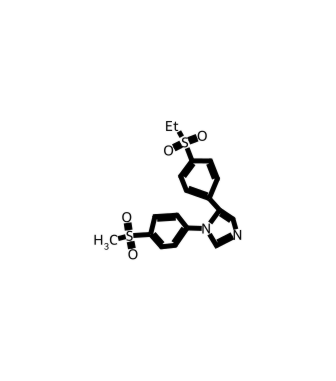 CCS(=O)(=O)c1ccc(-c2cncn2-c2ccc(S(C)(=O)=O)cc2)cc1